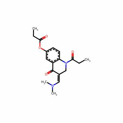 CCC(=O)Oc1ccc2c(c1)C(=O)C(=CN(C)C)CN2C(=O)CC